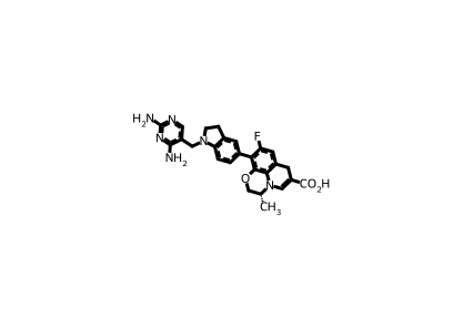 C[C@@H]1COc2c(-c3ccc4c(c3)CCN4Cc3cnc(N)nc3N)c(F)cc3c2N1C=C(C(=O)O)C3